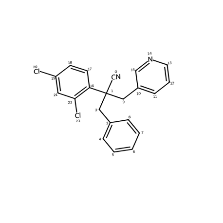 N#CC(Cc1ccccc1)(Cc1cccnc1)c1ccc(Cl)cc1Cl